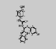 O=C(NC(Cc1ccc(Br)cc1)c1nc2ccccc2[nH]1)NC12CCC(O)(CC1)CC2